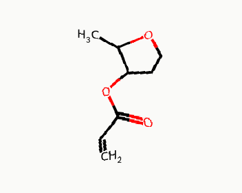 C=CC(=O)OC1CCOC1C